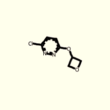 Clc1ccc(OC2COC2)nn1